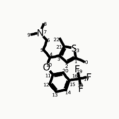 Cc1cc(C(CCN(C)C)Oc2cccc(C(F)(F)F)c2)c(C)s1